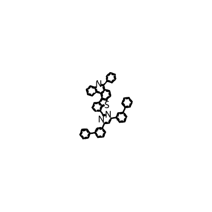 c1ccc(-c2cccc(-c3cc(-c4cccc(-c5ccccc5)c4)nc(-c4cccc5c4sc4ccc6c(-c7ccccc7)nc7ccccc7c6c45)n3)c2)cc1